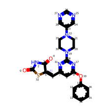 O=C1NC(=O)/C(=C\c2cc(Oc3ccccc3)nc(N3CCN(c4cncnc4)CC3)n2)S1